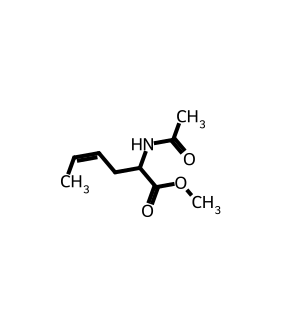 C/C=C\CC(NC(C)=O)C(=O)OC